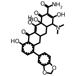 CN(C)C1C(O)=C(C(N)=O)C(=O)C2(O)C(O)=C3C(=O)c4c(O)ccc(-c5ccc6c(c5)OCO6)c4CC3CC12